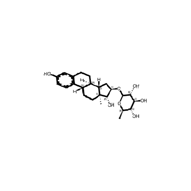 C[C@H]1OC(O[C@@H]2C[C@H]3[C@@H]4CCc5cc(O)ccc5[C@H]4CC[C@]3(C)[C@H]2O)[C@H](O)[C@@H](O)[C@@H]1O